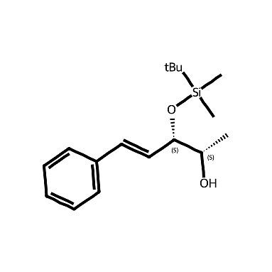 C[C@H](O)[C@H](C=Cc1ccccc1)O[Si](C)(C)C(C)(C)C